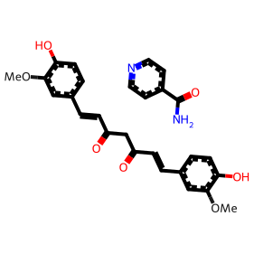 COc1cc(C=CC(=O)CC(=O)C=Cc2ccc(O)c(OC)c2)ccc1O.NC(=O)c1ccncc1